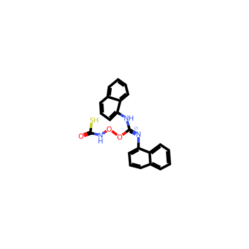 O=C(S)NOO/C(=N\c1cccc2ccccc12)Nc1cccc2ccccc12